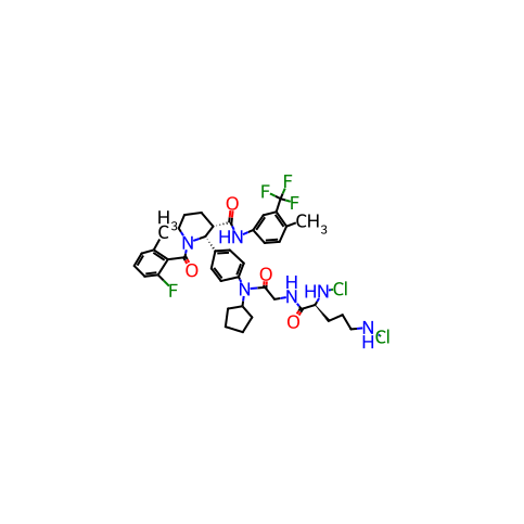 Cc1ccc(NC(=O)[C@H]2CCCN(C(=O)c3c(C)cccc3F)[C@H]2c2ccc(N(C(=O)CNC(=O)[C@H](CCCNCl)NCl)C3CCCC3)cc2)cc1C(F)(F)F